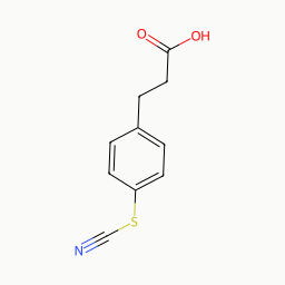 N#CSc1ccc(CCC(=O)O)cc1